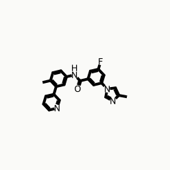 Cc1cn(-c2cc(F)cc(C(=O)Nc3ccc(C)c(-c4cccnc4)c3)c2)cn1